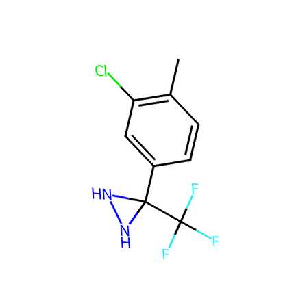 Cc1ccc(C2(C(F)(F)F)NN2)cc1Cl